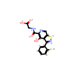 O=C(O)CNC(=O)c1ncc2snc(-c3ccccc3F)c2c1O